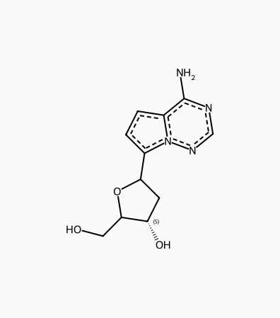 Nc1ncnn2c(C3C[C@H](O)C(CO)O3)ccc12